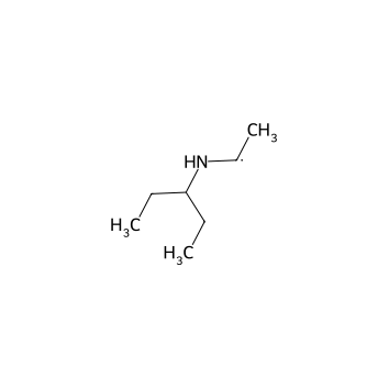 C[CH]NC(CC)CC